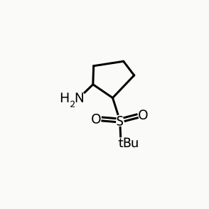 CC(C)(C)S(=O)(=O)C1CCCC1N